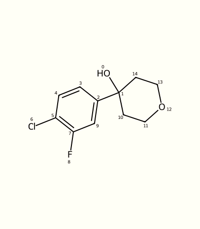 OC1(c2ccc(Cl)c(F)c2)CCOCC1